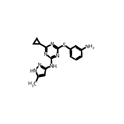 Cc1cc(Nc2nc(Sc3cccc(N)c3)nc(C3CC3)n2)n[nH]1